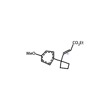 CCOC(=O)/C=C/C1(c2ccc(OC)cc2)CCC1